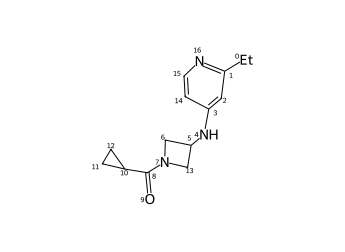 CCc1cc(NC2CN(C(=O)C3CC3)C2)ccn1